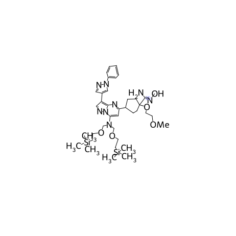 COCCOC1(/C(N)=N/O)CCC(c2cc(N(COCC[Si](C)(C)C)COCC[Si](C)(C)C)n3ncc(-c4cnn(-c5ccccc5)c4)c3n2)CC1